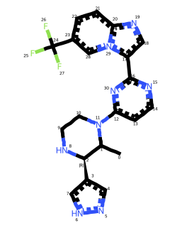 CC1[C@@H](c2cn[nH]c2)NCCN1c1ccnc(-c2cnc3ccc(C(F)(F)F)cn23)n1